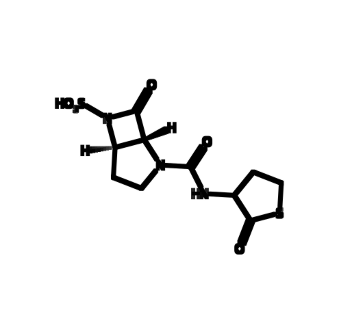 O=C1SCCC1NC(=O)N1CC[C@@H]2[C@@H]1C(=O)N2S(=O)(=O)O